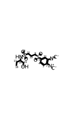 [C-]#[N+]c1ccc(S(=O)(=O)CCCS(=O)(=O)NC(CC)CO)cc1[N+]#[C-]